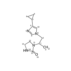 CC(Cn1cnc(C2CC2)c1)N1CCNC1=O